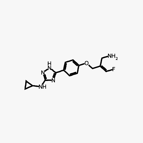 NC/C(=C\F)COc1ccc(-c2nc(NC3CC3)n[nH]2)cc1